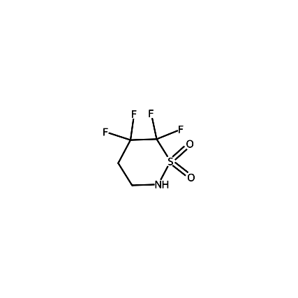 O=S1(=O)NCCC(F)(F)C1(F)F